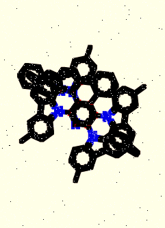 Cc1ccc2c(c1)c1cc(C)ccc1n2-c1nc(-n2c3ccc(C)cc3c3cc(C)ccc32)c(-n2c3ccc(C)cc3c3cc(C)ccc32)c(-c2ccccc2-c2ccc(-c3ccccc3)nc2-c2ccccc2)c1-n1c2ccc(C)cc2c2cc(C)ccc21